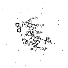 CSCC[C@H](NC(=O)[C@H](CCC(=O)O)NC(=O)[C@H](CCC(=O)O)NC(=O)OCC1c2ccccc2-c2ccccc21)C(=O)N[C@@H](CCC(N)=O)C(=O)N[C@@H](CCCNC(=N)N)C(=O)N[C@@H](CCCNC(=N)N)C(=O)N[C@H](C(=O)N[C@@H](CC(=O)O)C(=O)O)[C@@H](C)O